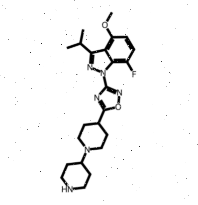 COc1ccc(F)c2c1c(C(C)C)nn2-c1noc(C2CCN(C3CCNCC3)CC2)n1